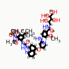 COc1cc(Nc2cc(Oc3ccc(NC(=O)Nc4cc(C(C)(C)C)cc(NS(C)(=O)=O)c4OC)c4ccccc34)ccn2)ccc1C(=O)NC[C@H](O)C(O)C(O)CO